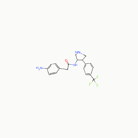 Nc1ccc(CC(=O)NC2CNCC2c2ccc(C(F)(F)F)cc2)cc1